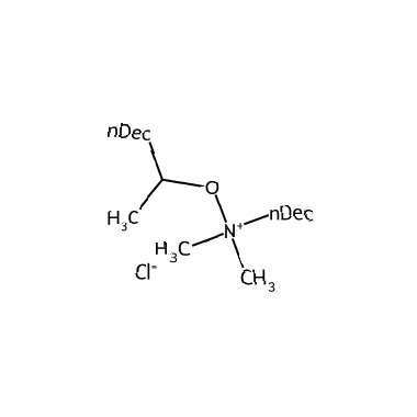 CCCCCCCCCCC(C)O[N+](C)(C)CCCCCCCCCC.[Cl-]